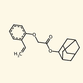 C=Cc1ccccc1OCC(=O)OC1C2CC3CC(C2)CC1C3